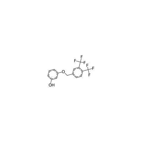 Oc1cccc(OCc2ccc(C(F)(F)F)c(C(F)(F)F)c2)c1